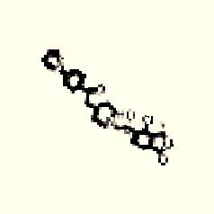 Cc1c([C@@H](O)CN2CCC(CC(=O)c3ccc(-n4cccn4)cc3)CC2)ccc2c1COC2=O